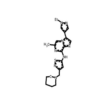 CCn1cc(-c2cnc3c(Nc4cc(CN5CCCCC5)ns4)nc(C)cn23)cn1